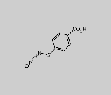 O=C=NSc1ccc(C(=O)O)cc1